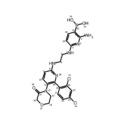 Nc1nc(NCCNc2ccc(N3CCOCC3=O)c(-c3ccc(Cl)cc3Cl)n2)ccc1N(O)O